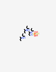 CCC(C)NC(C)CC.CCC(C)NC(C)CC.CCC(C)NC(C)CC.OP(O)(=S)S